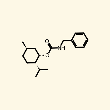 CC(C)[C@@H]1CC[C@@H](C)C[C@@H]1OC(=O)NCc1ccccc1